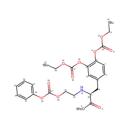 COC(=O)[C@H](Cc1ccc(OC(=O)OCC(C)(C)C)c(OC(=O)OCC(C)(C)C)c1)NCCOC(=O)Oc1ccccc1